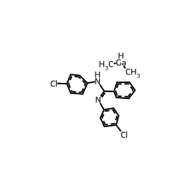 Clc1ccc(/N=C(/Nc2ccc(Cl)cc2)c2ccccc2)cc1.[CH3][GaH][CH3]